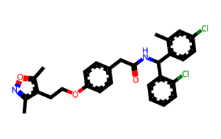 Cc1cc(Cl)ccc1C(NC(=O)Cc1ccc(OCCc2c(C)noc2C)cc1)c1ccccc1Cl